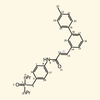 CCCP(=O)(CCC)Cc1ccc(NC(=O)/C=C/c2cccc(-c3ccc(C)cc3)c2)cc1